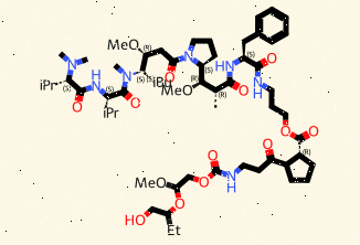 CCC(CO)OC(COC(=O)NCCC(=O)C1CCC[C@H]1C(=O)OCCCNC(=O)[C@H](Cc1ccccc1)NC(=O)[C@H](C)[C@@H](OC)[C@@H]1CCCN1C(=O)C[C@@H](OC)[C@H]([C@@H](C)CC)N(C)C(=O)[C@@H](NC(=O)[C@H](C(C)C)N(C)C)C(C)C)OC